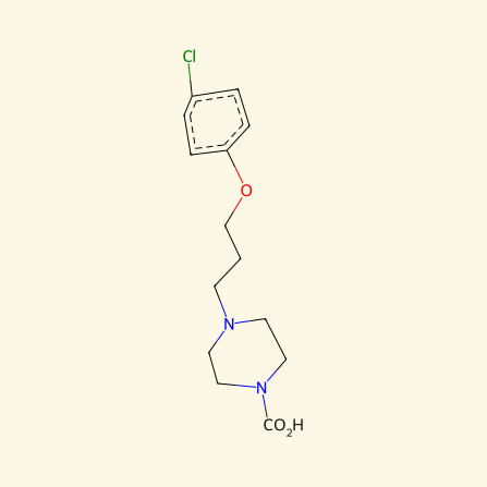 O=C(O)N1CCN(CCCOc2ccc(Cl)cc2)CC1